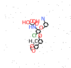 Cc1c(COc2cc(OCc3cccc(C#N)c3)c(CNC(CC(=O)O)C(=O)O)cc2Cl)cccc1-c1ccc2c(c1)OCCO2